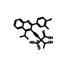 Cc1cc(-c2nc3ccccc3c(C(C)C)c2C#CC(C(=O)O)(C(C)O)[PH](=O)O)ccc1F